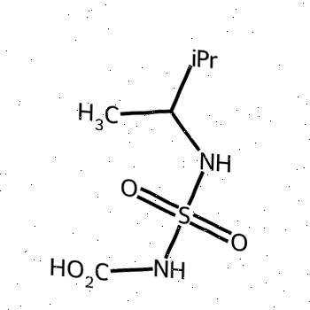 CC(C)C(C)NS(=O)(=O)NC(=O)O